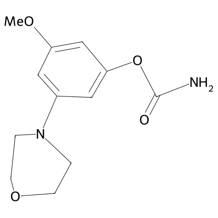 COc1cc(OC(N)=O)cc(N2CCOCC2)c1